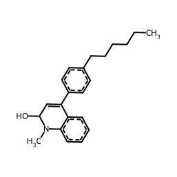 CCCCCCc1ccc(C2=CC(O)N(C)c3ccccc32)cc1